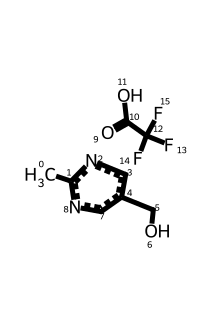 Cc1ncc(CO)cn1.O=C(O)C(F)(F)F